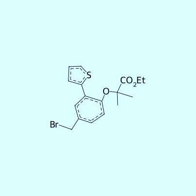 CCOC(=O)C(C)(C)Oc1ccc(CBr)cc1-c1cccs1